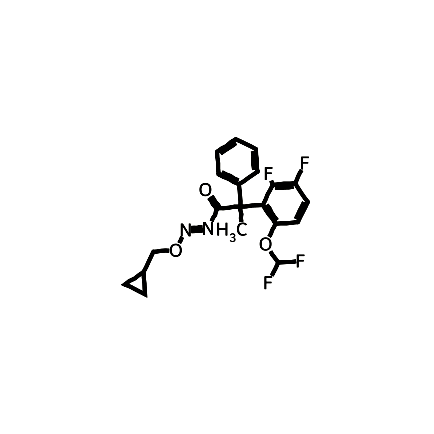 CC(C(=O)N=NOCC1CC1)(c1ccccc1)c1c(OC(F)F)ccc(F)c1F